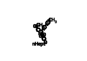 CCCCCCCOc1ccc(S(=O)(=O)c2cc(N3CCC(N4CCN(C)CC4)CC3)c3cc([S+](C)[O-])ccc3n2)cc1